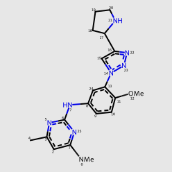 CNc1cc(C)nc(Nc2ccc(OC)c(-n3cc(C4CCCN4)nn3)c2)n1